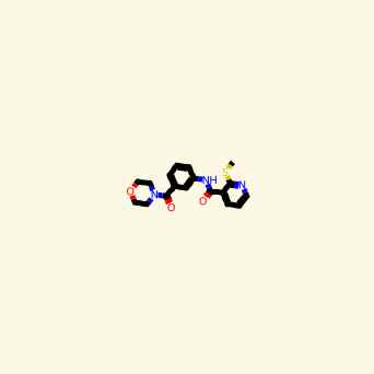 CSc1ncccc1C(=O)Nc1cccc(C(=O)N2CCOCC2)c1